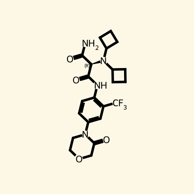 NC(=O)[C@H](C(=O)Nc1ccc(N2CCOCC2=O)cc1C(F)(F)F)N(C1CCC1)C1CCC1